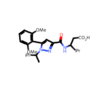 COc1cccc(OC)c1-c1cc(C(=O)NC(CC(=O)O)C(C)C)nn1C(C)C(C)C